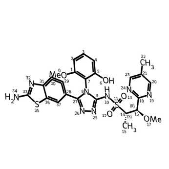 COc1cccc(O)c1-n1c(NS(=O)(=O)[C@@H](C)[C@H](OC)c2ncc(C)cn2)nnc1C1=C=C=c2nc(N)sc2=C1